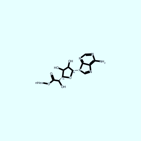 CCCCCCOC(=O)C(O)[C@H]1O[C@@H](n2cnc3c(N)ncnc32)C(O)C1O